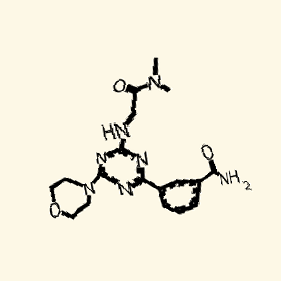 CN(C)C(=O)CNc1nc(-c2cccc(C(N)=O)c2)nc(N2CCOCC2)n1